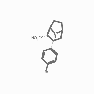 CN1C2CCC1[C@@H](C(=O)O)[C@@H](c1ccc(Br)cc1)C2